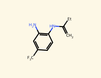 C=C(CC)Nc1ccc(C(F)(F)F)cc1N